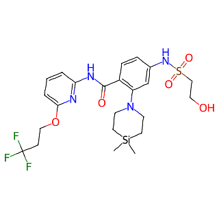 C[Si]1(C)CCN(c2cc(NS(=O)(=O)CCO)ccc2C(=O)Nc2cccc(OCCC(F)(F)F)n2)CC1